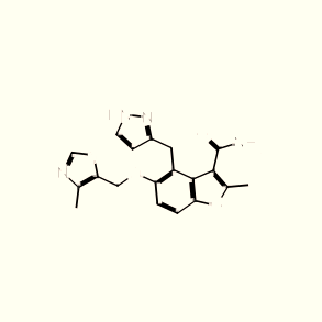 Cc1ncsc1COc1ccc2oc(C)c(C(N)=O)c2c1Cc1cc[nH]n1